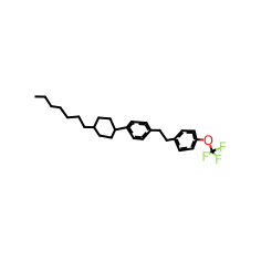 CCCCCCCC1CCC(c2ccc(CCc3ccc(OC(F)(F)F)cc3)cc2)CC1